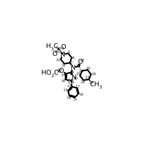 CS(=O)(=O)N1CCC(N(c2nn(-c3ccccc3)cc2OC(=O)O)C(=O)[C@H]2CC[C@H](C)CC2)CC1